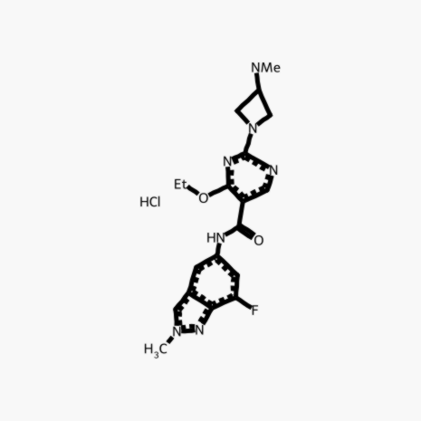 CCOc1nc(N2CC(NC)C2)ncc1C(=O)Nc1cc(F)c2nn(C)cc2c1.Cl